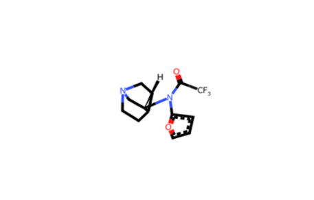 O=C(N(c1ccco1)[C@H]1CN2CCC1CC2)C(F)(F)F